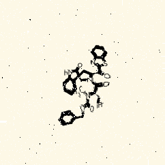 CC(C)C[C@@H](C(=O)N1C[C@]2(C[C@H]1C(=O)c1nc3ccccc3s1)C(=O)Nc1ccccc12)N(C)C(=O)OCc1ccccc1